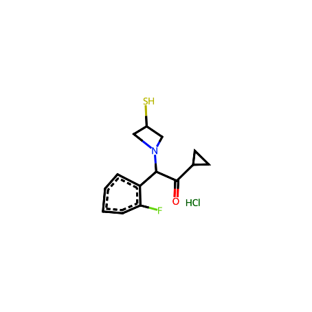 Cl.O=C(C1CC1)C(c1ccccc1F)N1CC(S)C1